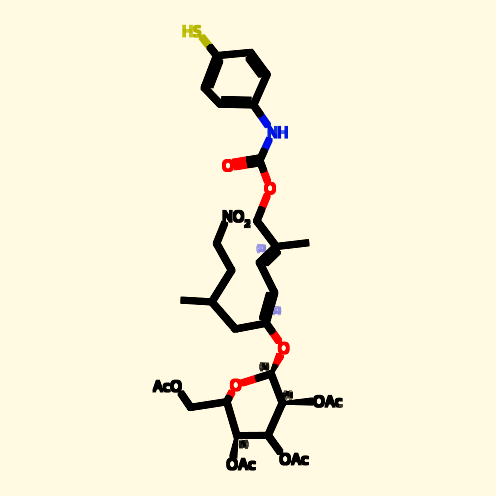 CC(=O)OCC1O[C@@H](O/C(=C/C=C(\C)COC(=O)Nc2ccc(S)cc2)CC(C)CC[N+](=O)[O-])[C@@H](OC(C)=O)C(OC(C)=O)[C@H]1OC(C)=O